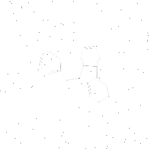 c1ccc2c(c1)-c1ccccc1C2Cc1ccncc1